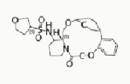 O=C1COc2ccccc2C2CCC(CC2)OC[C@H]2C(NS(=O)(=O)[C@H]3CCOC3)CCCN12